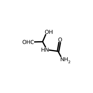 NC(=O)NC(O)C=O